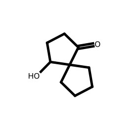 O=C1CCC(O)C12CCCC2